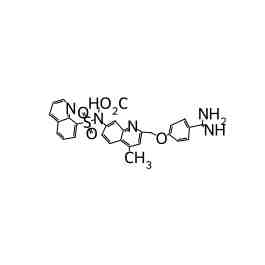 Cc1cc(COc2ccc(C(=N)N)cc2)nc2cc(N(CC(=O)O)S(=O)(=O)c3cccc4cccnc34)ccc12